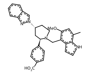 COc1cc(C)c2[nH]ccc2c1CN1CC[C@@H](n2cc3ccccc3n2)C[C@@H]1c1ccc(C(=O)O)cc1